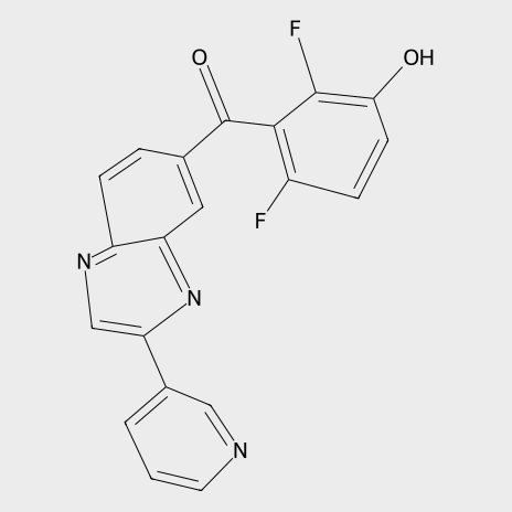 O=C(c1ccc2ncc(-c3cccnc3)nc2c1)c1c(F)ccc(O)c1F